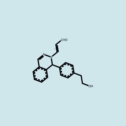 O=C/C=C/N1N=Cc2ccccc2C1c1ccc(CCO)cc1